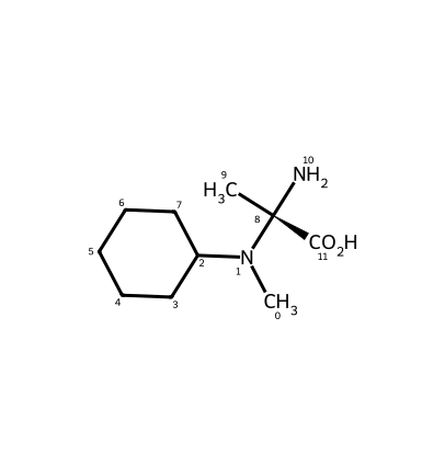 CN(C1CCCCC1)[C@](C)(N)C(=O)O